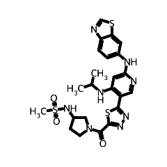 CC(C)Nc1cc(Nc2ccc3ncsc3c2)ncc1-c1nnc(C(=O)N2CCC(NS(C)(=O)=O)C2)s1